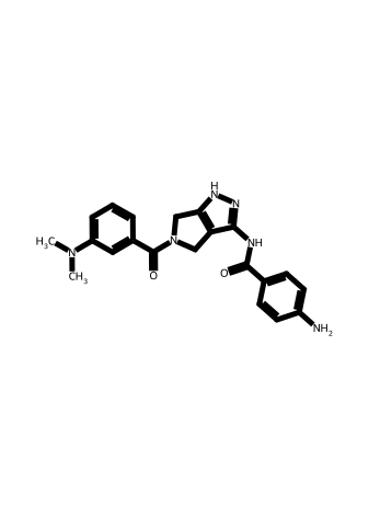 CN(C)c1cccc(C(=O)N2Cc3[nH]nc(NC(=O)c4ccc(N)cc4)c3C2)c1